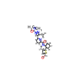 CN(C)C(=O)n1cc(-c2cccc(C(=O)N3CCc4cc(C=O)sc4-c4ccccc43)n2)c(C2CC2)n1